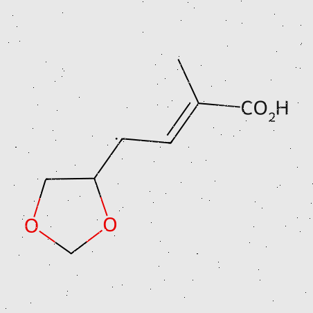 CC(=C[CH]C1COCO1)C(=O)O